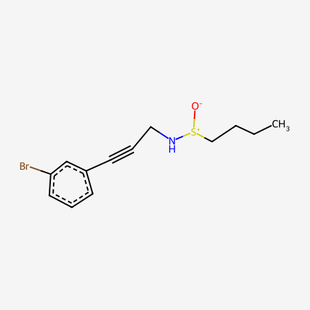 CCCC[S+]([O-])NCC#Cc1cccc(Br)c1